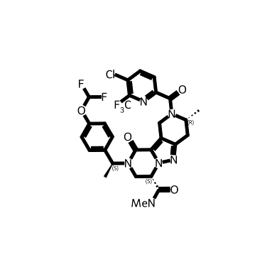 CNC(=O)[C@@H]1CN([C@@H](C)c2ccc(OC(F)F)cc2)C(=O)c2c3c(nn21)C[C@@H](C)N(C(=O)c1ccc(Cl)c(C(F)(F)F)n1)C3